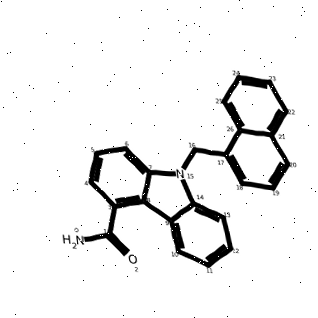 NC(=O)c1cccc2c1c1ccccc1n2Cc1cccc2ccccc12